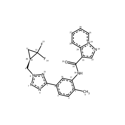 Cc1ccc(-c2nnn(C[C@H]3CC3(F)F)n2)cc1NC(=O)c1cnn2ccccc12